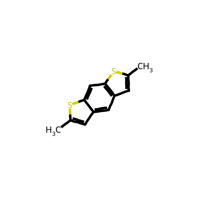 Cc1cc2cc3cc(C)sc3cc2s1